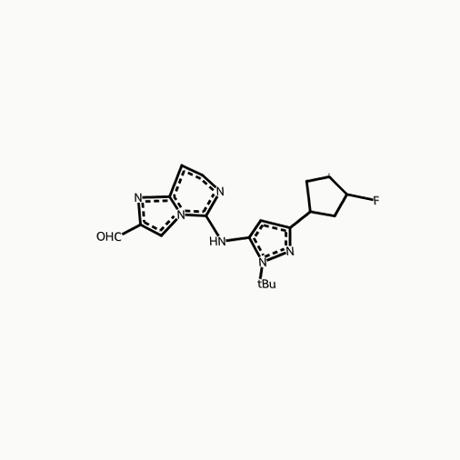 CC(C)(C)n1nc(C2C[CH]C(F)C2)cc1Nc1nccc2nc(C=O)cn12